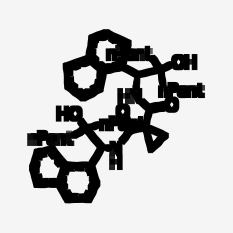 CCCCCC(O)(CCCCC)[C@@H](NC(=O)C1(C(=O)N[C@@H](c2cccc3ccccc23)C(O)(CCCCC)CCCCC)CC1)c1cccc2ccccc12